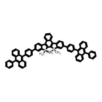 C[Si]1(C)c2cc(-c3ccc(-c4c5ccccc5c(-c5ccccc5)c5ccccc45)cc3)ccc2-c2c1c1c(c3ccccc23)-c2ccc(-c3ccc(-c4c5ccccc5c(-c5ccccc5)c5ccccc45)cc3)cc2[Si]1(C)C